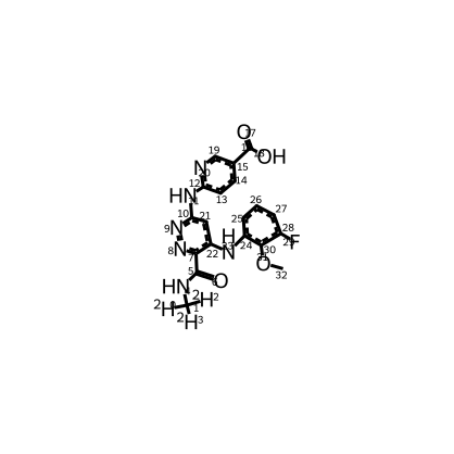 [2H]C([2H])([2H])NC(=O)c1nnc(Nc2ccc(C(=O)O)cn2)cc1Nc1cccc(F)c1OC